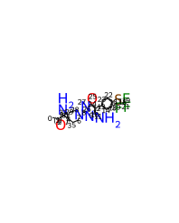 C[C@@H]1OCC2(CCN(c3nc(N)c(-c4ccc(SC(F)(F)F)cc4)c(=O)n3C)CC2)[C@@H]1N